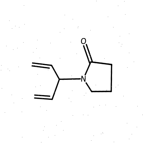 C=CC(C=C)N1CCCC1=O